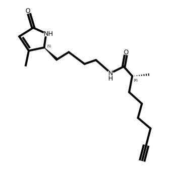 C#CCCCC[C@@H](C)C(=O)NCCCC[C@@H]1NC(=O)C=C1C